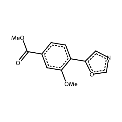 COC(=O)c1ccc(-c2cnco2)c(OC)c1